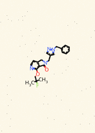 CC(C)(F)COc1nccc2c1C(=O)N(Cc1cnn(Cc3ccccc3)c1)C2